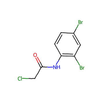 O=C(CCl)Nc1ccc(Br)cc1Br